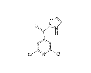 O=C(c1cc(Cl)nc(Cl)c1)c1ccc[nH]1